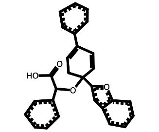 O=C(O)C(OC1(c2cc3ccccc3o2)C=CC(c2ccccc2)=CC1)c1ccccc1